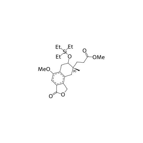 CC[Si](CC)(CC)OC1Cc2c(OC)cc3c(c2C[C@@]1(C)CCC(=O)OC)COC3=O